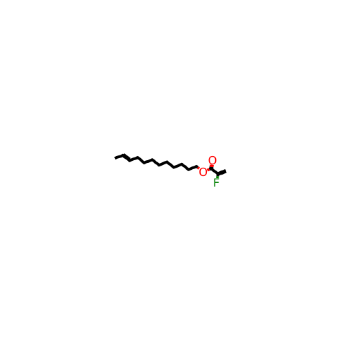 C=C(F)C(=O)OCCCCCCCCC/C=C/C